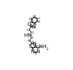 Nc1ncnc2sc(CCNCCc3nc4ccccc4o3)nc12